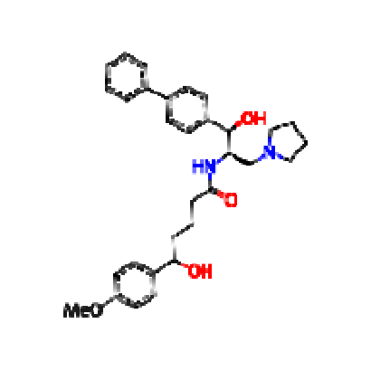 COc1ccc(C(O)CCCC(=O)N[C@H](CN2CCCC2)[C@H](O)c2ccc(-c3ccccc3)cc2)cc1